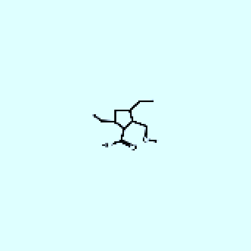 CCC1CC(CC)C(C(=O)O)C1COC